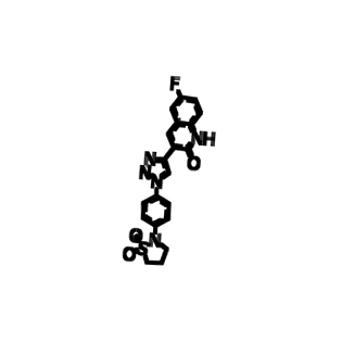 O=c1[nH]c2ccc(F)cc2cc1-c1cn(-c2ccc(N3CCCS3(=O)=O)cc2)nn1